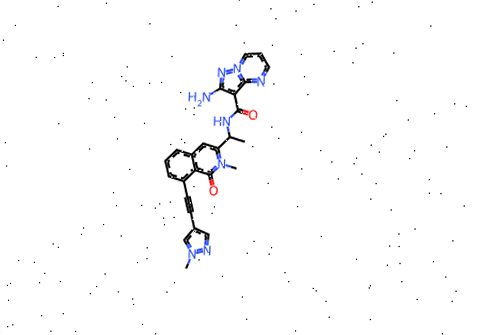 CC(NC(=O)c1c(N)nn2cccnc12)c1cc2cccc(C#Cc3cnn(C)c3)c2c(=O)n1C